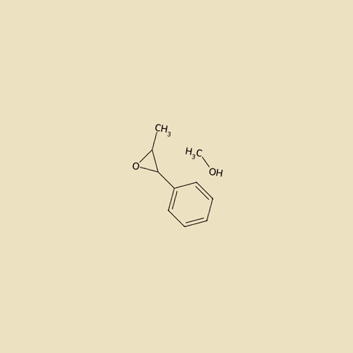 CC1OC1c1ccccc1.CO